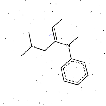 C/C=C(/CC(C)C)N(C)c1ccccc1